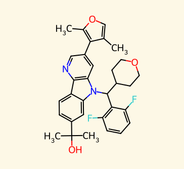 Cc1coc(C)c1-c1cnc2c3ccc(C(C)(C)O)cc3n(C(c3c(F)cccc3F)C3CCOCC3)c2c1